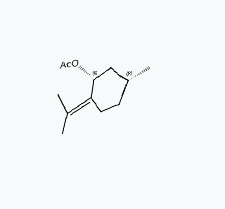 CC(=O)O[C@@H]1C[C@H](C)CCC1=C(C)C